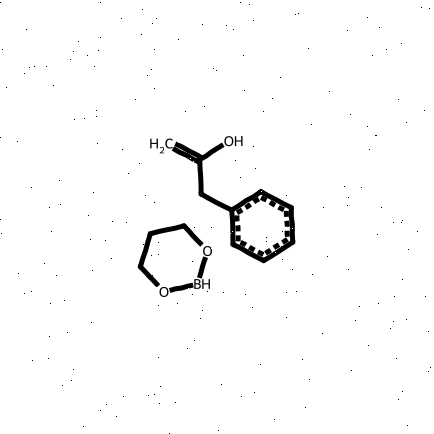 B1OCCCO1.C=C(O)Cc1ccccc1